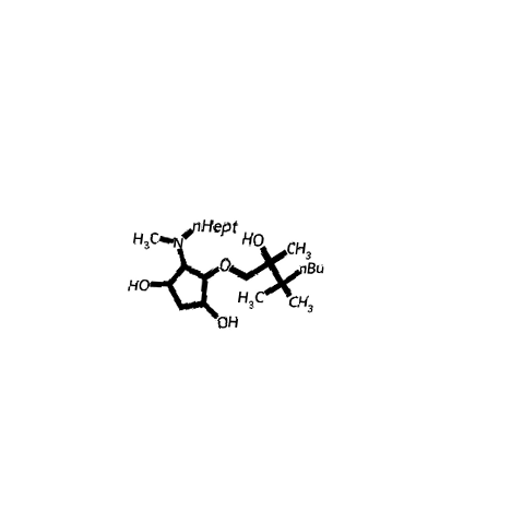 CCCCCCCN(C)C1C(O)CC(O)C1OCC(C)(O)C(C)(C)CCCC